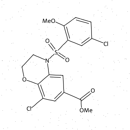 COC(=O)c1cc(Cl)c2c(c1)N(S(=O)(=O)c1cc(Cl)ccc1OC)CCO2